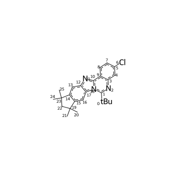 CC(C)(C)c1nc2cc(Cl)ccc2c2nc3cc4c(cc3n12)C(C)(C)CC4(C)C